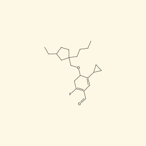 CCCCC1(COC2CC(F)=C(C=O)C=C2C2CC2)CCC(CC)C1